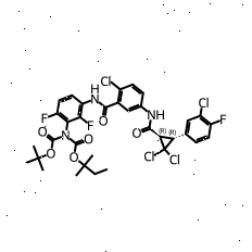 CCC(C)(C)OC(=O)N(C(=O)OC(C)(C)C)c1c(F)ccc(NC(=O)c2cc(NC(=O)[C@H]3[C@H](c4ccc(F)c(Cl)c4)C3(Cl)Cl)ccc2Cl)c1F